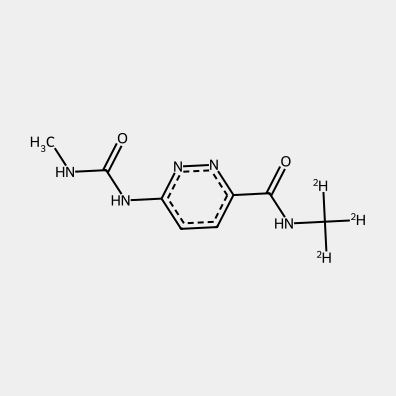 [2H]C([2H])([2H])NC(=O)c1ccc(NC(=O)NC)nn1